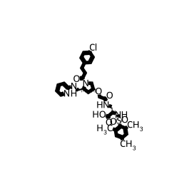 Cc1cc(C)c(S(=O)(=O)N[C@@H](CNC(=O)CO[C@@H]2C[C@@H](CNc3ccccn3)N(C(=O)CCc3ccc(Cl)cc3)C2)C(=O)O)c(C)c1